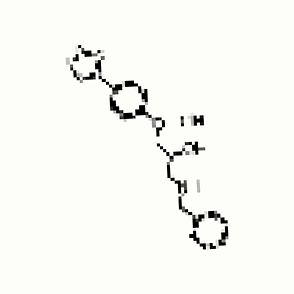 Cl.OC(CNCc1ccccc1)COc1ccc(-c2cnns2)cc1